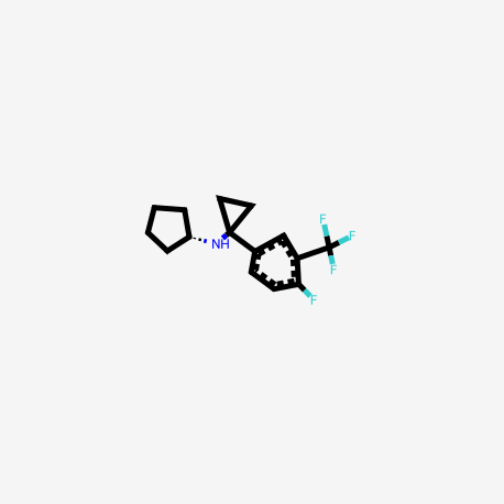 Fc1ccc(C2(N[C@@H]3[CH]CCC3)CC2)cc1C(F)(F)F